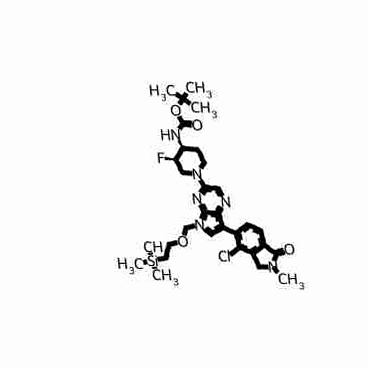 CN1Cc2c(ccc(-c3cn(COCC[Si](C)(C)C)c4nc(N5CC[C@H](NC(=O)OC(C)(C)C)[C@H](F)C5)cnc34)c2Cl)C1=O